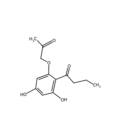 CCCC(=O)c1c(O)cc(O)cc1OCC(C)=O